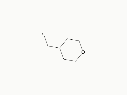 [C]CC1CCOCC1